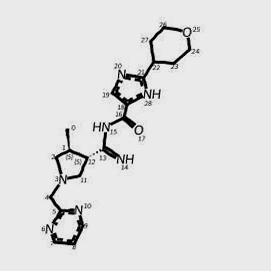 C[C@@H]1CN(Cc2ncccn2)C[C@H]1C(=N)NC(=O)c1cnc(C2CCOCC2)[nH]1